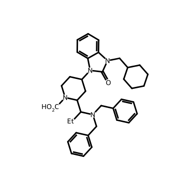 CCC(C1CC(n2c(=O)n(CC3CCCCC3)c3ccccc32)CCN1C(=O)O)N(Cc1ccccc1)Cc1ccccc1